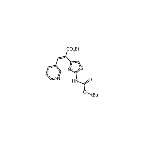 CCOC(=O)/C(=C/c1cccnc1)c1csc(NC(=O)OC(C)(C)C)n1